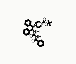 CC(C)(C)OC(=O)N1CCN([C@@H](c2ccccc2)[C@H](NC(=O)NC(=O)c2ccccc2)c2ccccc2)CC1